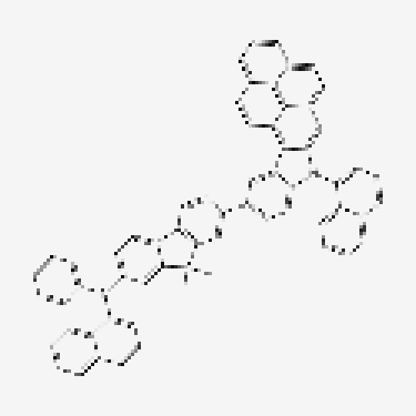 CC1(C)c2cc(-c3ccc4c(c3)c3c5ccc6cccc7ccc(cc3n4-c3cccc4ccccc34)c5c76)ccc2-c2ccc(N(c3ccccc3)c3cccc4ccccc34)cc21